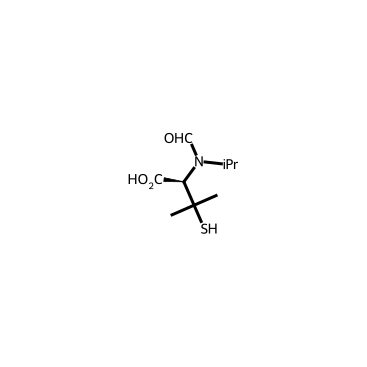 CC(C)N(C=O)[C@H](C(=O)O)C(C)(C)S